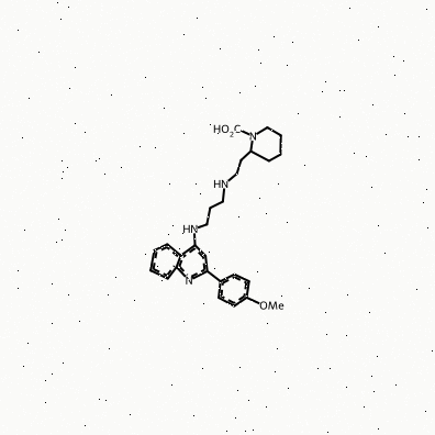 COc1ccc(-c2cc(NCCCNCCC3CCCCN3C(=O)O)c3ccccc3n2)cc1